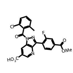 COC(=O)c1ccc(-c2nn(C(=O)c3c(C)cccc3Cl)c3cc(C(=O)O)cnc23)c(F)c1